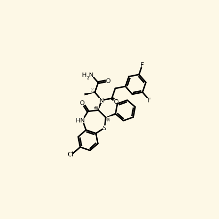 C[C@@H](C(N)=O)N(C(=O)Cc1cc(F)cc(F)c1)[C@@H]1C(=O)Nc2cc(Cl)ccc2S[C@@H]1c1ccccc1